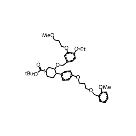 CCOc1ccc(COC2CN(C(=O)OC(C)(C)C)CCC2c2ccc(OCCCOCc3ccccc3OC)cc2)cc1OCCCOC